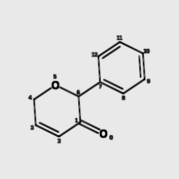 O=C1C=CCOC1c1ccccc1